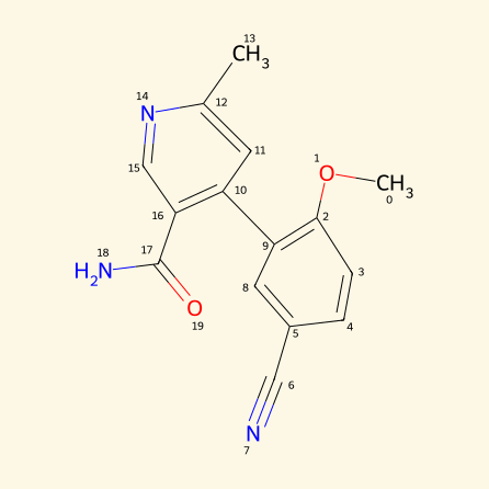 COc1ccc(C#N)cc1-c1cc(C)ncc1C(N)=O